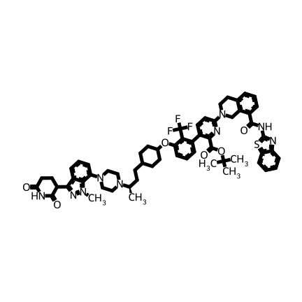 C[C@H](CCC1CCC(Oc2cccc(-c3ccc(N4CCc5cccc(C(=O)Nc6nc7ccccc7s6)c5C4)nc3C(=O)OC(C)(C)C)c2C(F)(F)F)CC1)N1CCN(c2cccc3c(C4CCC(=O)NC4=O)nn(C)c23)CC1